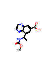 CC(NC(=O)OC(C)(C)C)c1cc(B(O)O)cc2nccnc12